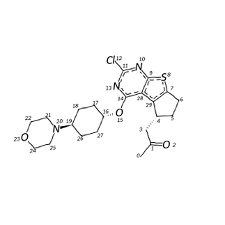 CC(=O)C[C@H]1CCc2sc3nc(Cl)nc(O[C@H]4CC[C@H](N5CCOCC5)CC4)c3c21